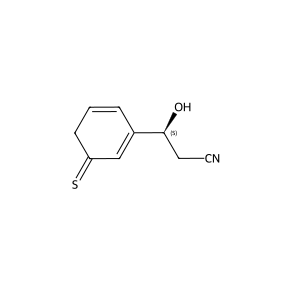 N#CC[C@H](O)C1=CC(=S)CC=C1